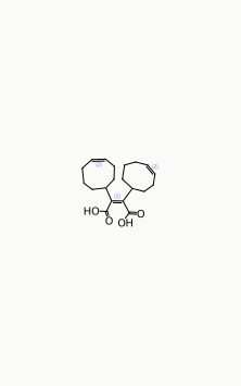 O=C(O)/C(=C(\C(=O)O)C1CC/C=C\CCC1)C1CC/C=C\CCC1